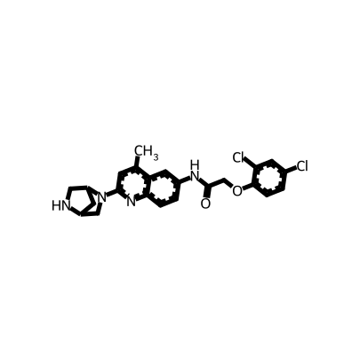 Cc1cc(N2CC3CC2CN3)nc2ccc(NC(=O)COc3ccc(Cl)cc3Cl)cc12